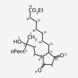 CCCCCC(C)(O)CCN1C(=O)CC(=O)C1CCCCCCC(=O)OCC